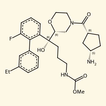 CCc1cccc(-c2c(F)cccc2[C@](O)(CCCNC(=O)OC)[C@H]2CN(C(=O)[C@@H]3CC[C@H](N)C3)CCO2)c1